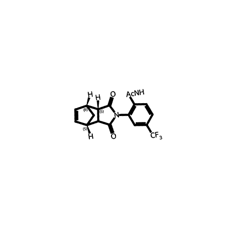 CC(=O)Nc1ccc(C(F)(F)F)cc1N1C(=O)C2[C@@H]3C=C[C@@H](C3)[C@@H]2C1=O